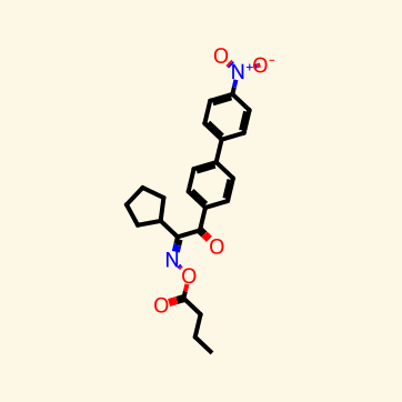 CCCC(=O)O/N=C(\C(=O)c1ccc(-c2ccc([N+](=O)[O-])cc2)cc1)C1CCCC1